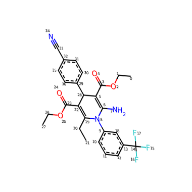 CCOC(=O)C1=C(N)N(c2cccc(C(F)(F)F)c2)C(CC)=C(C(=O)OCC)C1c1ccc(C#N)cc1